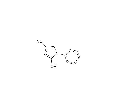 N#Cc1cc(O)n(-c2ccccc2)c1